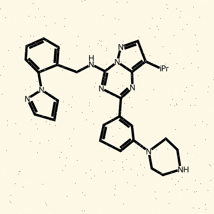 CC(C)c1cnn2c(NCc3ccccc3-n3cccn3)nc(-c3cccc(N4CCNCC4)c3)nc12